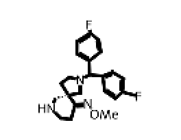 CO/N=C1\CCNC[C@@]12CCN(C(c1ccc(F)cc1)c1ccc(F)cc1)C2